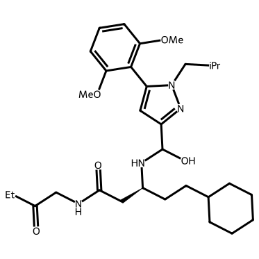 CCC(=O)CNC(=O)C[C@H](CCC1CCCCC1)NC(O)c1cc(-c2c(OC)cccc2OC)n(CC(C)C)n1